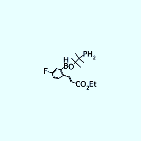 CCOC(=O)/C=C/c1ccc(F)cc1BOC(C)(C)C(C)(C)P